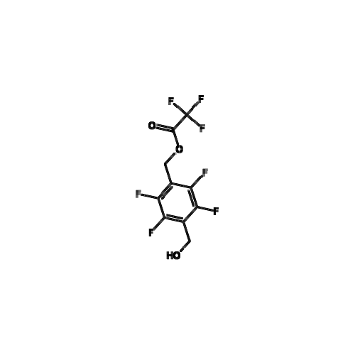 O=C(OCc1c(F)c(F)c(CO)c(F)c1F)C(F)(F)F